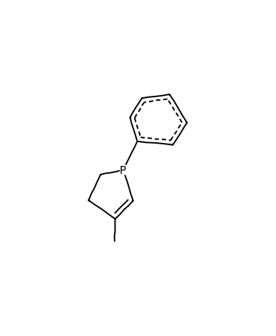 CC1=CP(c2ccccc2)CC1